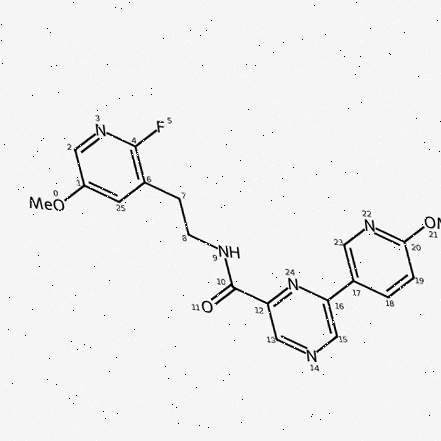 COc1cnc(F)c(CCNC(=O)c2cncc(-c3ccc(OC)nc3)n2)c1